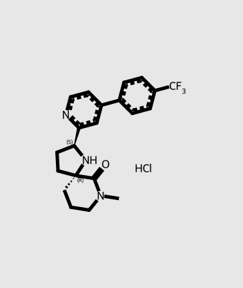 CN1CCC[C@@]2(CC[C@@H](c3cc(-c4ccc(C(F)(F)F)cc4)ccn3)N2)C1=O.Cl